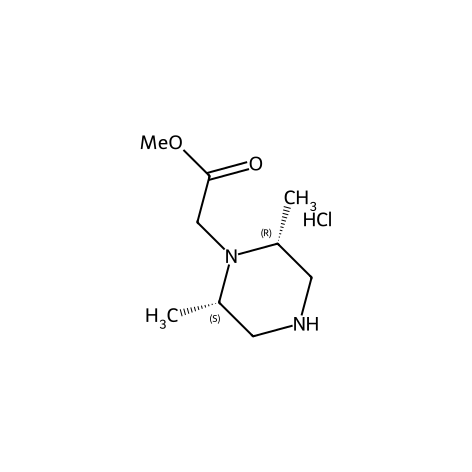 COC(=O)CN1[C@H](C)CNC[C@@H]1C.Cl